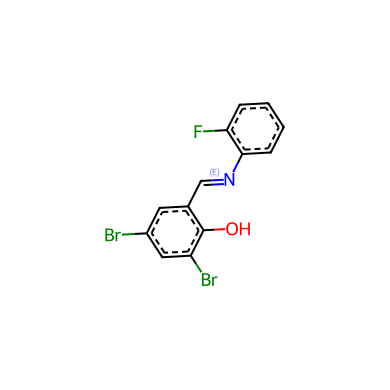 Oc1c(Br)cc(Br)cc1/C=N/c1ccccc1F